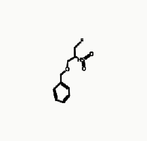 O=[SH](=O)C(CF)COCc1ccccc1